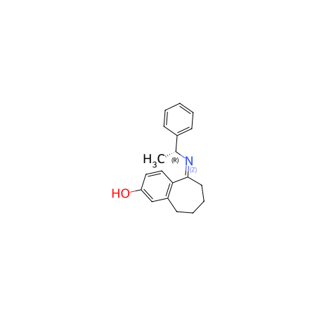 C[C@@H](/N=C1/CCCCc2cc(O)ccc21)c1ccccc1